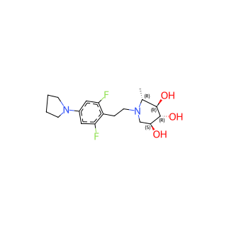 C[C@@H]1[C@@H](O)[C@H](O)[C@@H](O)CN1CCc1c(F)cc(N2CCCC2)cc1F